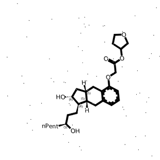 CCCCC[C@H](O)CC[C@@H]1[C@H]2Cc3cccc(OCC(=O)OC4CCOC4)c3C[C@H]2C[C@H]1O